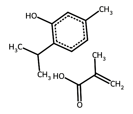 C=C(C)C(=O)O.Cc1ccc(C(C)C)c(O)c1